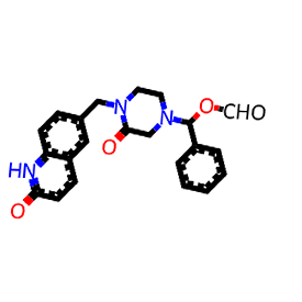 O=COC(c1ccccc1)N1CCN(Cc2ccc3[nH]c(=O)ccc3c2)C(=O)C1